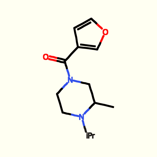 CC(C)N1CCN(C(=O)c2ccoc2)CC1C